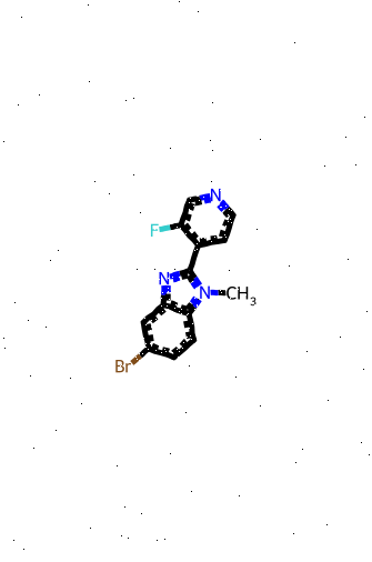 Cn1c(-c2ccncc2F)nc2cc(Br)ccc21